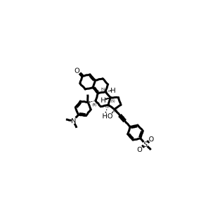 CN(C)C1=CCC(C)([C@H]2C[C@@]3(C)[C@@H](CC[C@@]3(O)C#Cc3ccc(S(C)(=O)=O)cc3)[C@@H]3CCC4=CC(=O)CCC4=C32)C=C1